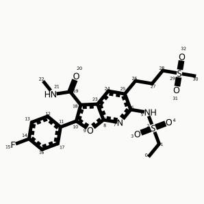 CCS(=O)(=O)Nc1nc2oc(-c3ccc(F)cc3)c(C(=O)NC)c2cc1CCCS(C)(=O)=O